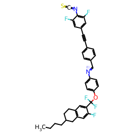 CCCCC1CCc2cc(C(F)(F)Oc3ccc(/N=C/c4ccc(C#Cc5cc(F)c(N=C=S)c(F)c5)cc4)cc3)c(F)cc2C1